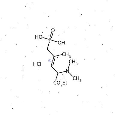 CCOC(=O)C(/C=C(\C)CP(=O)(O)O)N(C)C.Cl